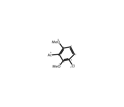 COc1ccc(Cl)c(OC)c1C(C)=O